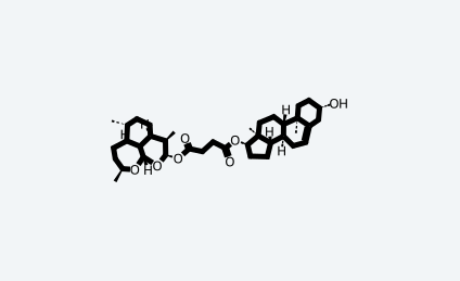 C[C@H]1[C@H](OC(=O)CCC(=O)O[C@H]2CC[C@H]3[C@@H]4CC=C5C[C@@H](O)CC[C@]5(C)[C@H]4CC[C@]23C)O[C@@H]2O[C@@H](C)CC[C@@H]3C2[C@H]1CC[C@H]3C